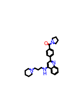 O=C(c1ccc(-c2cc(NCCCN3CCCCC3)c3ccccc3n2)cc1)N1CCCC1